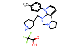 CN1CCC[C@H]1C1=CC=CN(c2ccc(C(F)(F)F)cc2)C1NCC1CCNCC1.O=C(O)C(F)(F)F